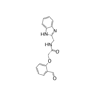 O=Cc1ccccc1OCC(=O)NCc1nc2ccccc2[nH]1